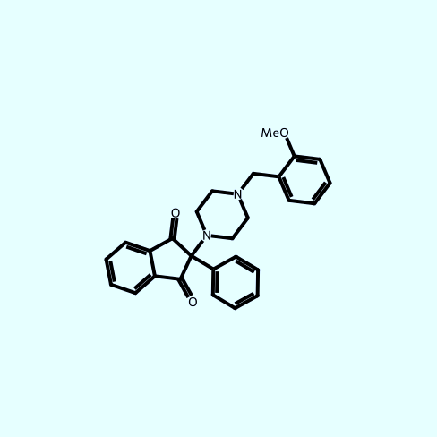 COc1ccccc1CN1CCN(C2(c3ccccc3)C(=O)c3ccccc3C2=O)CC1